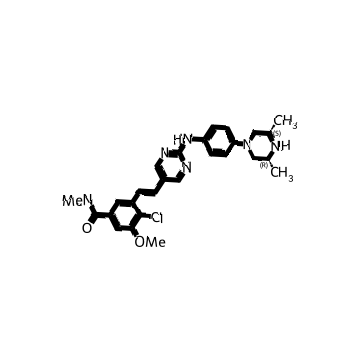 CNC(=O)c1cc(C=Cc2cnc(Nc3ccc(N4C[C@@H](C)N[C@@H](C)C4)cc3)nc2)c(Cl)c(OC)c1